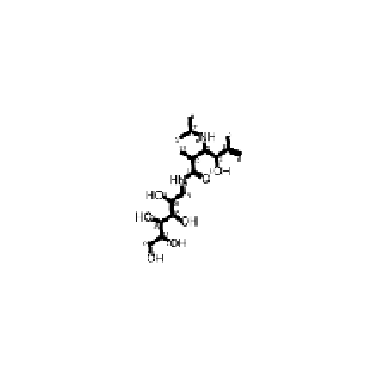 C=C(C)C(O)C(NC(C)C)C(C)C(=O)NCC(O)C(O)C(O)C(O)CO